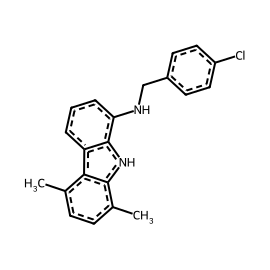 Cc1ccc(C)c2c1[nH]c1c(NCc3ccc(Cl)cc3)cccc12